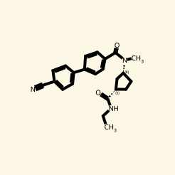 CCNC(=O)[C@H]1CC[C@@H](N(C)C(=O)c2ccc(-c3ccc(C#N)cc3)cc2)C1